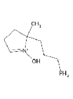 CC1(CCCP)CCC=[N+]1O